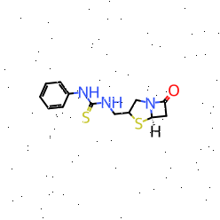 O=C1C[C@H]2SC(CNC(=S)Nc3ccccc3)CN12